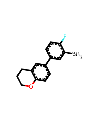 Bc1cc(-c2ccc3c(c2)CCCO3)ccc1F